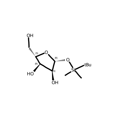 CC(C)(C)[Si](C)(C)O[C@H]1O[C@@H](CO)[C@H](O)[C@@H]1O